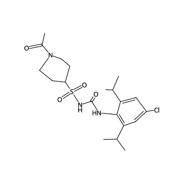 CC(=O)N1CCC(S(=O)(=O)NC(=O)Nc2c(C(C)C)cc(Cl)cc2C(C)C)CC1